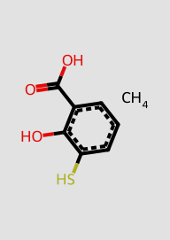 C.O=C(O)c1cccc(S)c1O